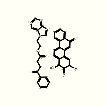 CC1C=c2c(ccc3c2=CC(=O)c2ccccc2-3)C(C)C1=O.O=C(CCC(=O)c1ccccc1)NCCn1cnc2ncncc21